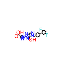 O=C(O)c1cnn(-c2nc(O)c3c(cnn3Cc3ccc(-c4cc(F)ccc4F)cc3)n2)c1